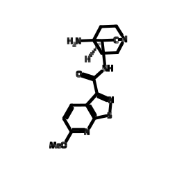 COc1ccc2c(C(=O)N[C@@H]3CN4CCC3(N)CC4)nsc2n1